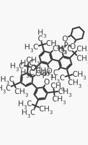 Cc1c(C(C)(C)C)cc(C(C)(C)C)c(OP2OC3CCCCC3O2)c1-c1c(C)c(C(C)(C)C)cc(C(C)(C)C)c1Op1oc2c(C(C)(C)C)cc(C(C)(C)C)cc2c2cc(C(C)(C)C)cc(C(C)(C)C)c2o1